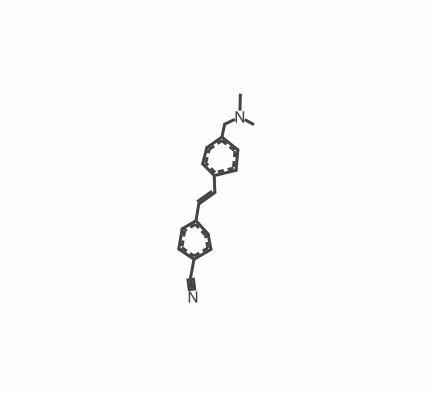 CN(C)Cc1ccc(C=Cc2ccc(C#N)cc2)cc1